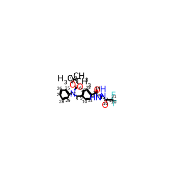 CC(C)(C)OC(=O)N(Cc1ccc(C(=O)NNC(=O)C(F)F)cc1)c1ccccc1